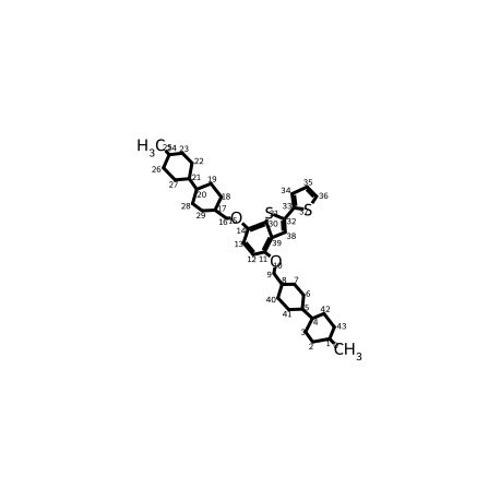 CC1CCC(C2CCC(COc3ccc(OCC4CCC(C5CCC(C)CC5)CC4)c4sc(-c5cccs5)cc34)CC2)CC1